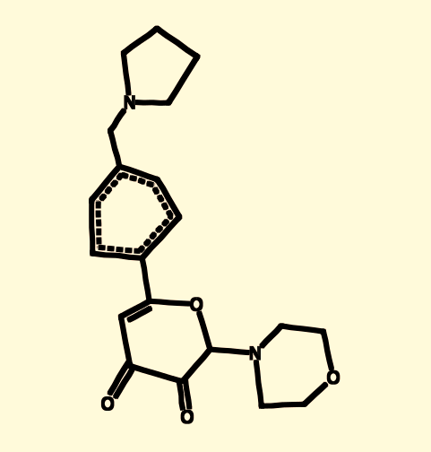 O=C1C=C(c2ccc(CN3CCCC3)cc2)OC(N2CCOCC2)C1=O